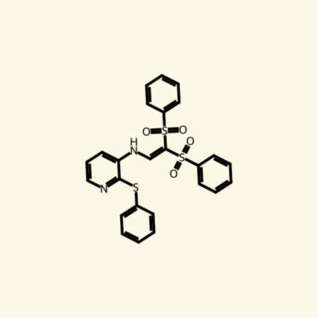 O=S(=O)(C(=CNc1cccnc1Sc1ccccc1)S(=O)(=O)c1ccccc1)c1ccccc1